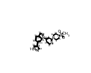 CS(=O)(=O)N1CCN(c2cc(-n3ncc4ccc(-c5cn[nH]c5)cc43)ccn2)CC1